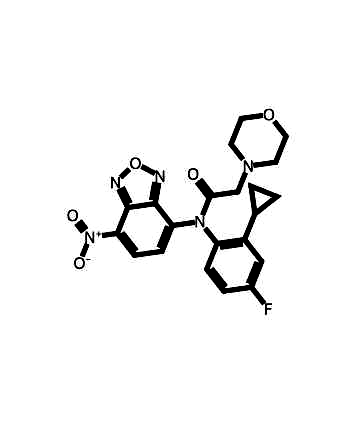 O=C(CN1CCOCC1)N(c1ccc(F)cc1C1CC1)c1ccc([N+](=O)[O-])c2nonc12